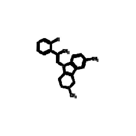 CC(=Cn1c2c(c3cc(C)ccc31)CN(C)CC2)c1ccccc1Cl